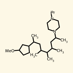 COC1CCC(C(C)CC(C)C(C)C(C)CC(C)N2CCN(C(C)C)CC2)C1